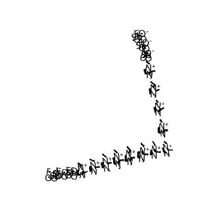 CC[n+]1ccn(C)c1C.CC[n+]1ccn(C)c1C.CC[n+]1ccn(C)c1C.CC[n+]1ccn(C)c1C.CC[n+]1ccn(C)c1C.CC[n+]1ccn(C)c1C.CC[n+]1ccn(C)c1C.CC[n+]1ccn(C)c1C.CC[n+]1ccn(C)c1C.CC[n+]1ccn(C)c1C.CC[n+]1ccn(C)c1C.CC[n+]1ccn(C)c1C.[O]=[Sb]([O-])([O-])[F].[O]=[Sb]([O-])([O-])[F].[O]=[Sb]([O-])([O-])[F].[O]=[Sb]([O-])([O-])[F].[O]=[Sb]([O-])([O-])[F].[O]=[Sb]([O-])([O-])[F]